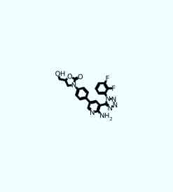 Nc1ncc(-c2ccc(N3CC(CO)OC3=O)cc2)cc1-c1nnnn1-c1cccc(F)c1F